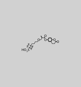 C=C(COCCCCC(F)(F)C(F)(F)S(=O)(=O)O)C(=O)Oc1ccc2c(c1)CCC(=O)O2